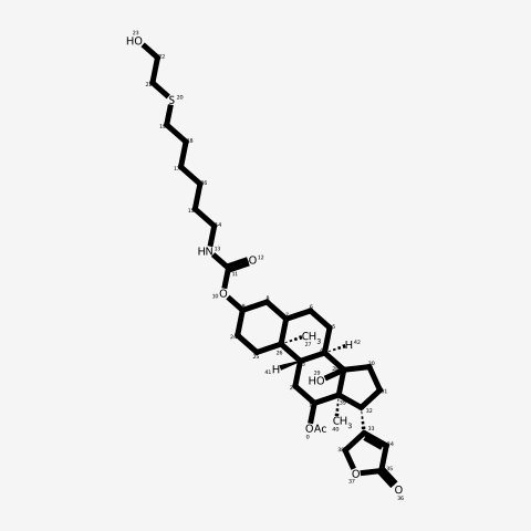 CC(=O)OC1C[C@H]2[C@@H](CCC3CC(OC(=O)NCCCCCCSCCO)CC[C@@]32C)C2(O)CC[C@H](C3=CC(=O)OC3)[C@@]12C